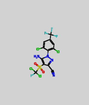 N#Cc1nn(-c2c(Cl)cc(C(F)(F)F)cc2Cl)c(N)c1S(=O)(=O)C(F)(Cl)Cl